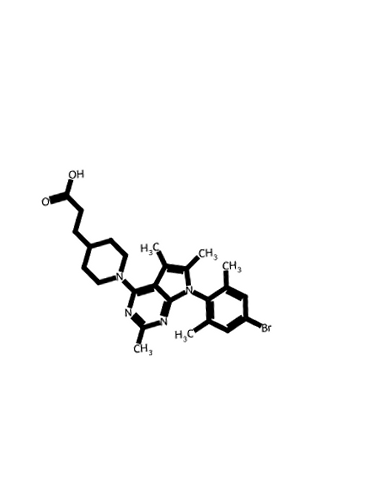 Cc1nc(N2CCC(CCC(=O)O)CC2)c2c(C)c(C)n(-c3c(C)cc(Br)cc3C)c2n1